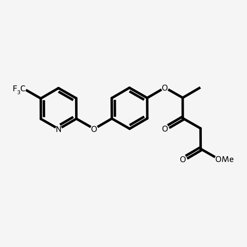 COC(=O)CC(=O)C(C)Oc1ccc(Oc2ccc(C(F)(F)F)cn2)cc1